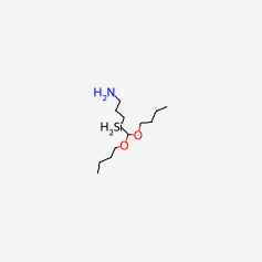 CCCCOC(OCCCC)[SiH2]CCCN